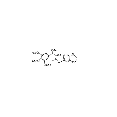 COc1cc(C(OC(C)=O)C(=O)N(C)Cc2ccc3c(c2)OCCO3)cc(OC)c1OC